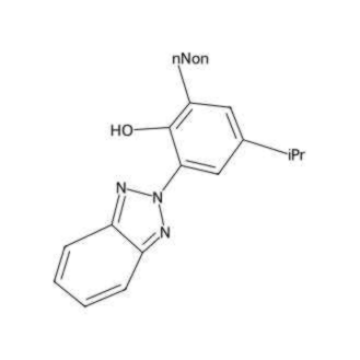 CCCCCCCCCc1cc(C(C)C)cc(-n2nc3ccccc3n2)c1O